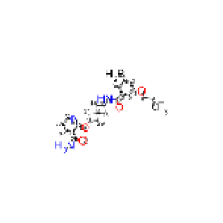 Bc1cc(OCCC(F)(F)F)cc(C(=O)N[C@H]2CC3(C2)C[C@H](Oc2ncccc2C(N)=O)C3)c1